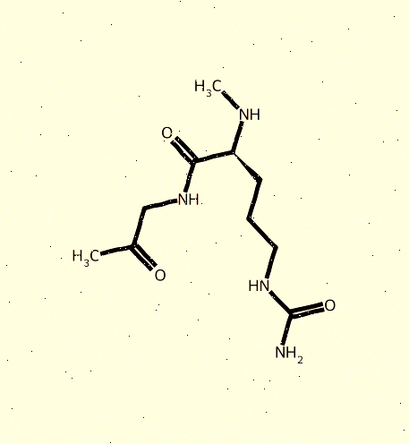 CN[C@@H](CCCNC(N)=O)C(=O)NCC(C)=O